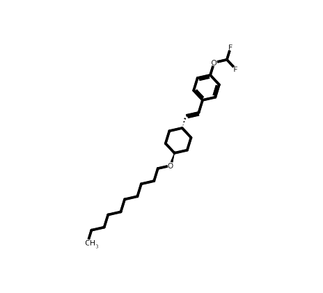 CCCCCCCCCCO[C@H]1CC[C@H](C=Cc2ccc(OC(F)F)cc2)CC1